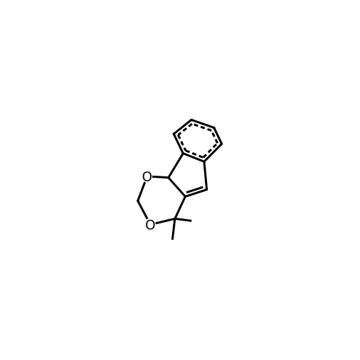 CC1(C)OCOC2C1=Cc1ccccc12